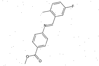 COC(=O)c1ccc(N=Cc2cc(F)ccc2C)cc1